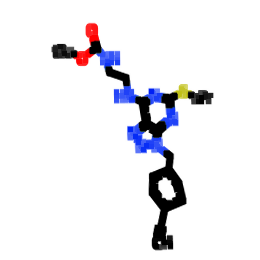 C#Cc1ccc(Cn2nnc3c(NCCNC(=O)OC(C)(C)C)nc(SCCC)nc32)cc1